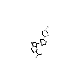 CC(=O)N1CCN(c2cc(-c3cnn4ccc(C(F)F)nc34)ncn2)CC1